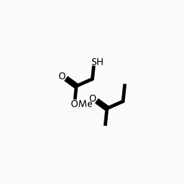 CCC(C)=O.COC(=O)CS